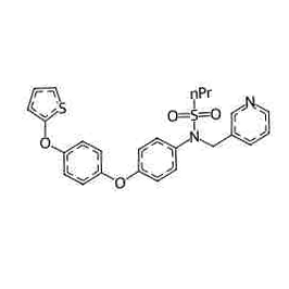 CCCS(=O)(=O)N(Cc1cccnc1)c1ccc(Oc2ccc(Oc3cccs3)cc2)cc1